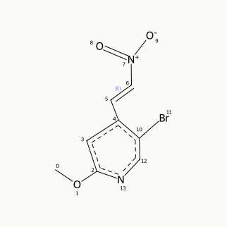 COc1cc(/C=C/[N+](=O)[O-])c(Br)cn1